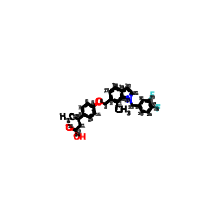 Cc1c(COc2ccc(C(C)CC(=O)O)cc2)ccc2ccn(Cc3ccc(F)c(F)c3)c12